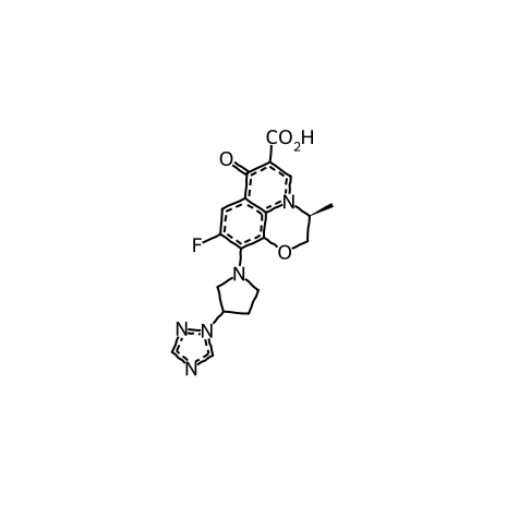 C[C@H]1COc2c(N3CCC(n4cncn4)C3)c(F)cc3c(=O)c(C(=O)O)cn1c23